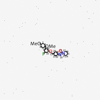 CO[C@H]1CC[C@@](OC)(c2cc(F)cc(OCc3ccc(N(C)C(=O)N4CCCCC4)cc3)c2)CC1